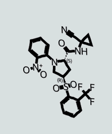 N#CC1(NC(=O)[C@@H]2C[C@@H](S(=O)(=O)c3ccccc3C(F)(F)F)CN2c2ccccc2[N+](=O)[O-])CC1